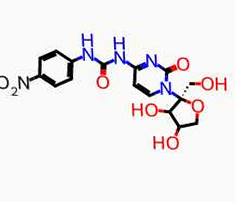 O=C(Nc1ccc([N+](=O)[O-])cc1)Nc1ccn([C@@]2(CO)OCC(O)C2O)c(=O)n1